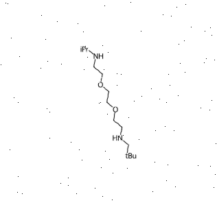 CC(C)NCCOCCOCCNCC(C)(C)C